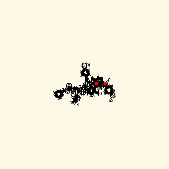 COc1ccc(CN(Cc2ccc(OC)cc2)S(=O)(=O)c2c(S(=O)(=O)C[C@@H](CNC(=O)OCc3ccccc3)NC(=O)OC(C)(C)C)ccc(I)c2-c2nnn(Cc3ccc(OC)cc3)n2)cc1